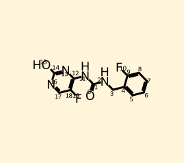 O=C(NCc1ccccc1F)Nc1nc(O)ncc1F